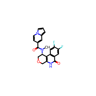 CN(C(=O)c1ccn2cccc2c1)[C@@H]1COCc2[nH]c(=O)c3cc(F)c(F)cc3c21